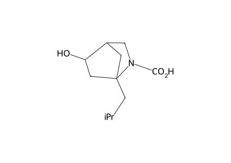 CC(C)CC12CC(O)C(CN1C(=O)O)C2